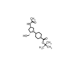 CC(=O)N[C@@H]1C[C@@H](CO)N(C2CCN(C(=O)OC(C)(C)C)CC2)C1